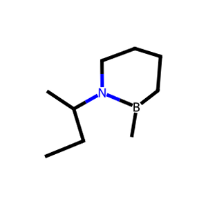 CCC(C)N1CCCCB1C